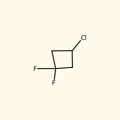 FC1(F)C[C](Cl)C1